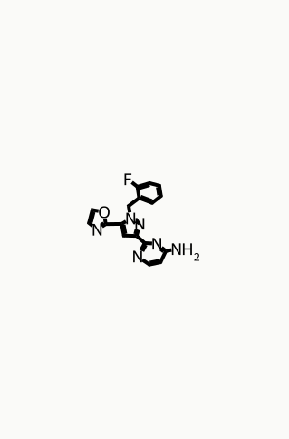 Nc1ccnc(-c2cc(-c3ncco3)n(Cc3ccccc3F)n2)n1